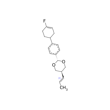 C/C=C/[C@H]1CO[C@H](c2ccc(C3CC=C(F)CC3)cc2)OC1